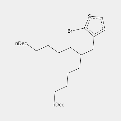 CCCCCCCCCCCCCCC(CCCCCCCCCCCCCC)Cc1ccsc1Br